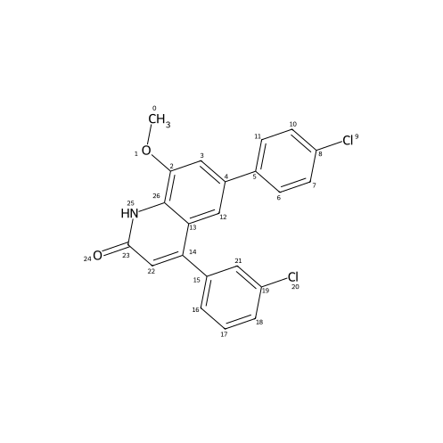 COc1cc(-c2ccc(Cl)cc2)cc2c(-c3cccc(Cl)c3)cc(=O)[nH]c12